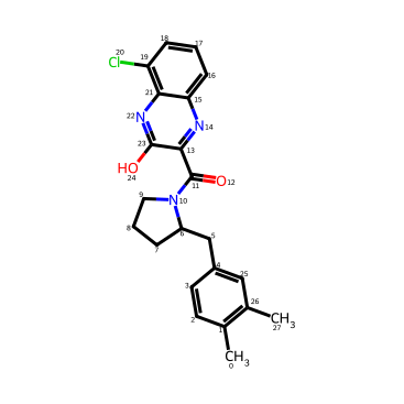 Cc1ccc(CC2CCCN2C(=O)c2nc3cccc(Cl)c3nc2O)cc1C